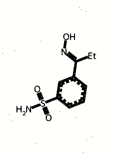 CCC(=NO)c1cccc(S(N)(=O)=O)c1